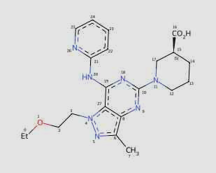 CCOCCn1nc(C)c2nc(N3CCC[C@H](C(=O)O)C3)nc(Nc3ccccn3)c21